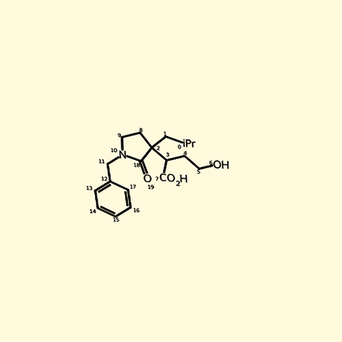 CC(C)CC1(C(CCO)C(=O)O)CCN(Cc2ccccc2)C1=O